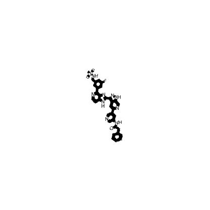 CS(=O)(=O)NCc1cc(F)cc(-c2nccc3[nH]c(-c4n[nH]c5cnc(-c6cncc(NC(=O)Cc7ccccc7)c6)cc45)nc23)c1